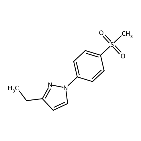 CCc1ccn(-c2ccc(S(C)(=O)=O)cc2)n1